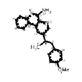 COc1ccc(CC(C)c2cnc3c(N)nc4ccccc4c3c2)cc1